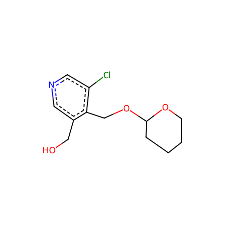 OCc1cncc(Cl)c1COC1CCCCO1